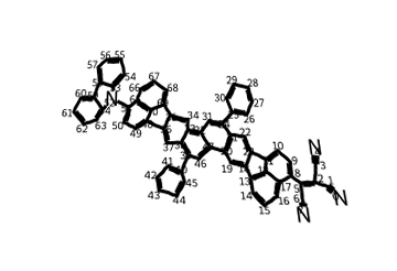 N#CC(C#N)=C(C#N)c1ccc2c3c(cccc13)-c1cc3c(cc1-2)c(-c1ccccc1)cc1c2cc4c(cc2c(-c2ccccc2)cc31)-c1ccc(-n2c3ccccc3c3ccccc32)c2cccc-4c12